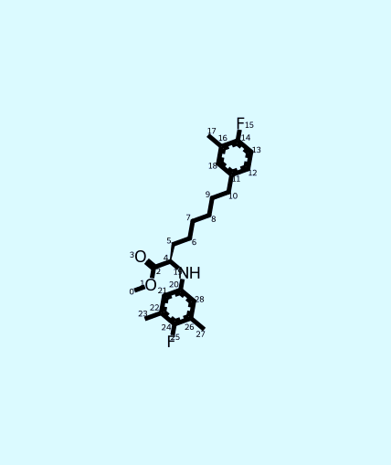 COC(=O)[C@@H](CCCCCCc1ccc(F)c(C)c1)Nc1cc(C)c(F)c(C)c1